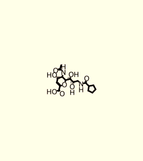 CC(=O)NC1C([C@@H](O)[C@@H](O)CNC(=O)C2CCCC2)OC(C(=O)O)=C[C@H]1O